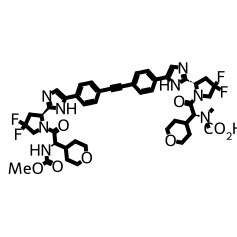 COC(=O)N[C@H](C(=O)N1CC(F)(F)C[C@H]1c1ncc(-c2ccc(C#Cc3ccc(-c4cnc([C@@H]5CC(F)(F)CN5C(=O)[C@@H](C5CCOCC5)N(C)C(=O)O)[nH]4)cc3)cc2)[nH]1)C1CCOCC1